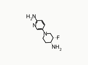 Nc1ccc(N2CC[C@@H](N)[C@@H](F)C2)cn1